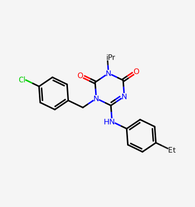 CCc1ccc(Nc2nc(=O)n(C(C)C)c(=O)n2Cc2ccc(Cl)cc2)cc1